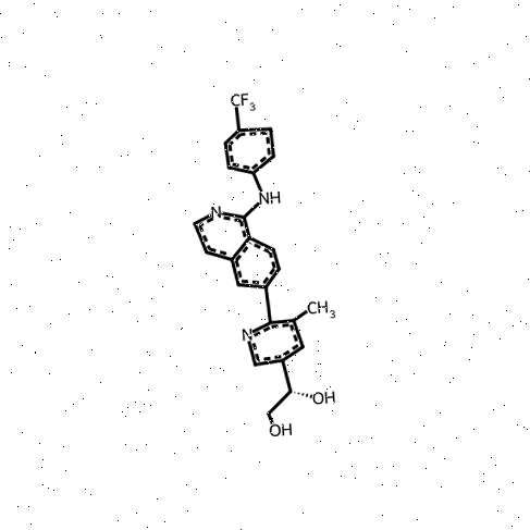 Cc1cc([C@H](O)CO)cnc1-c1ccc2c(Nc3ccc(C(F)(F)F)cc3)nccc2c1